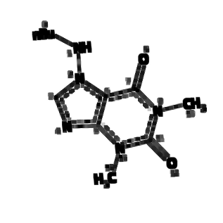 CCCCNn1cnc2c1c(=O)n(C)c(=O)n2C